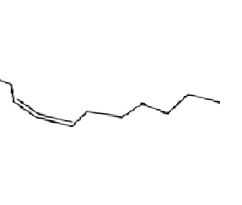 CCC=C=CCCCCCC